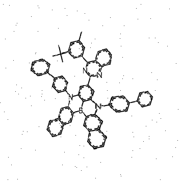 Cc1cc(-c2nc(-c3cc4c5c(c3)N(c3ccc(-c6ccccc6)cc3)c3cc6ccccc6cc3B5c3cc5ccccc5cc3N4c3ccc(-c4ccccc4)cc3)nc3ccccc23)cc(C(C)(C)C)c1